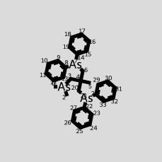 C[As](C)CC(C)(C[As](c1ccccc1)c1ccccc1)C[As](c1ccccc1)c1ccccc1